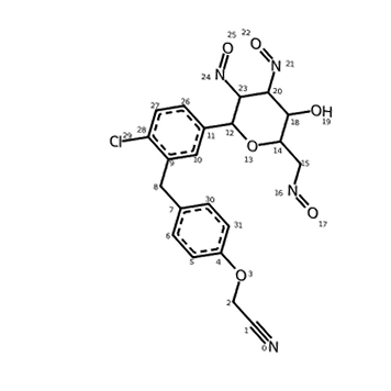 N#CCOc1ccc(Cc2cc(C3OC(CN=O)C(O)C(N=O)C3N=O)ccc2Cl)cc1